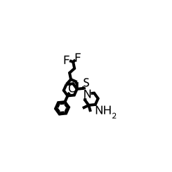 CC1(C)CN(C(=S)C23CC4CC(c5ccccc5)(CC2C4CCC(F)F)C3)CC[C@@H]1N